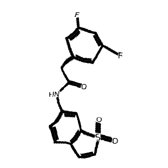 O=C(Cc1cc(F)cc(F)c1)Nc1ccc2c(c1)S(=O)(=O)C=C2